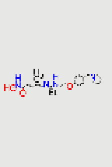 CC\C(=N/C=C(C)/C=C/C(=O)NO)NCCOc1ccc(CN2CCCC2)cc1